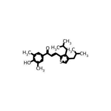 Cc1cc(C(=O)C=Cc2scc(CC(C)C)c2CC(C)C)cc(C)c1O